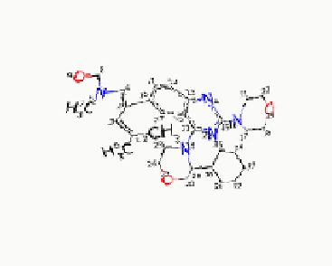 CC(C)=C/C(=C\N(C)C=O)c1ccc2nc(N3CCOCC3)nc(N3CCOCC3C3CCCCC3)c2c1